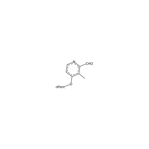 CCCCCOc1ccnc(C=O)c1C